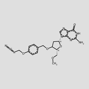 COC[C@H]1O[C@@H](n2cnc3c(=O)[nH]c(N)nc32)CC1OCc1ccc(OCN=[N+]=[N-])cc1